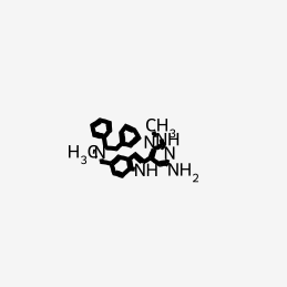 Cc1nc2c(-c3cc4cc(CN(C)C(Cc5ccccc5)c5ccccc5)ccc4[nH]3)cc(N)nc2[nH]1